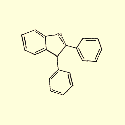 c1ccc(C2=Nc3ccccc3C2c2ccccc2)cc1